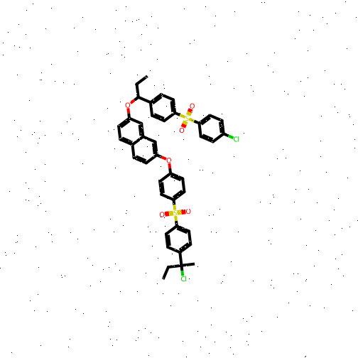 CCC(Oc1ccc2ccc(Oc3ccc(S(=O)(=O)c4ccc(C(C)(Cl)CC)cc4)cc3)cc2c1)c1ccc(S(=O)(=O)c2ccc(Cl)cc2)cc1